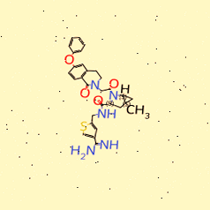 C[C@@]12C[C@@H]1N(C(=O)CN1CCc3cc(Oc4ccccc4)ccc3C1=O)[C@H](C(=O)NCc1cc(C(=N)N)cs1)C2